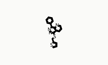 c1ccc(-c2nnc(SCc3cccs3)c3cccnc23)cc1